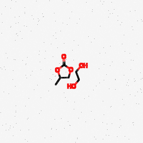 CC1COC(=O)O1.OCCO